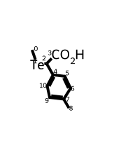 C[Te]C(C(=O)O)c1ccc(C)cc1